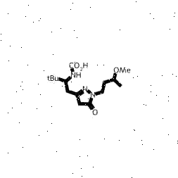 COC(C)CCN1N=C(CC(NC(=O)O)C(C)(C)C)CC1=O